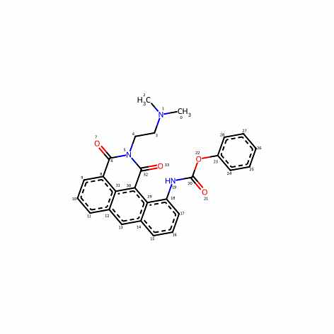 CN(C)CCN1C(=O)c2cccc3cc4cccc(NC(=O)Oc5ccccc5)c4c(c23)C1=O